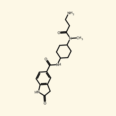 CN(C(=O)CCN)C1CCC(NC(=O)c2ccc3c(c2)CC(=O)N3)CC1